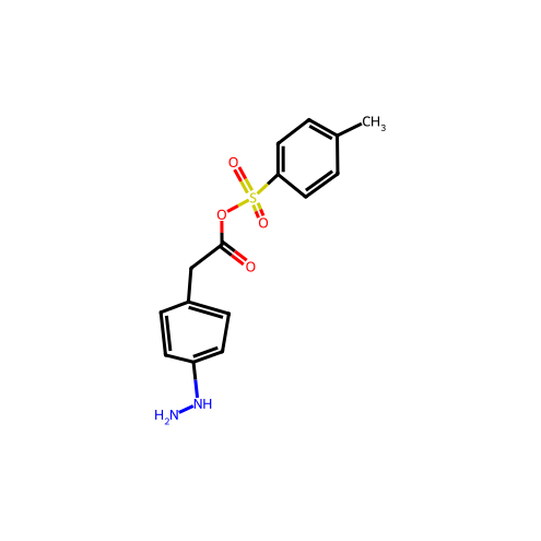 Cc1ccc(S(=O)(=O)OC(=O)Cc2ccc(NN)cc2)cc1